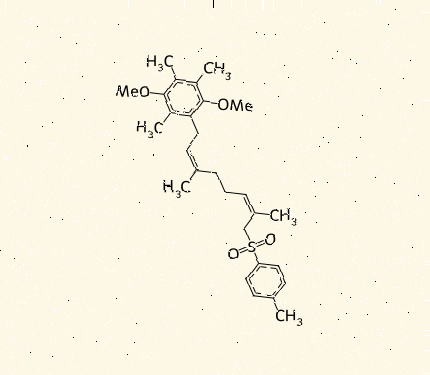 COc1c(C)c(C)c(OC)c(CC=C(C)CCC=C(C)CS(=O)(=O)c2ccc(C)cc2)c1C